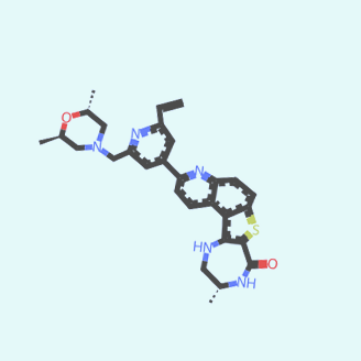 C=Cc1cc(-c2ccc3c(ccc4sc5c(c43)NC[C@@H](C)NC5=O)n2)cc(CN2C[C@@H](C)O[C@H](C)C2)n1